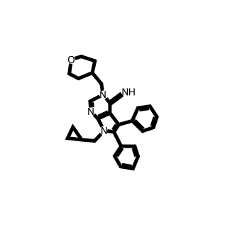 N=c1c2c(-c3ccccc3)c(-c3ccccc3)n(CC3CC3)c2ncn1CC1CCOCC1